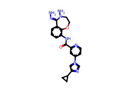 N/N=C1/c2cccc(NC(=O)c3cc(-n4cnc(C5CC5)c4)ccn3)c2OCCN1N